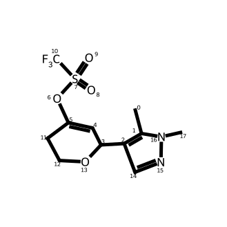 Cc1c(C2C=C(OS(=O)(=O)C(F)(F)F)CCO2)cnn1C